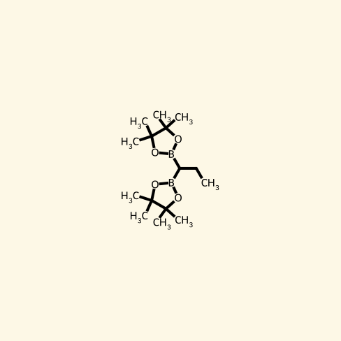 CCC(B1OC(C)(C)C(C)(C)O1)B1OC(C)(C)C(C)(C)O1